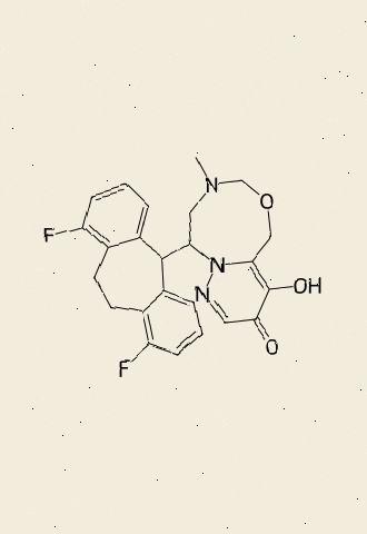 CN1COCc2c(O)c(=O)cnn2C(C2c3cccc(F)c3CCc3c(F)cccc32)C1